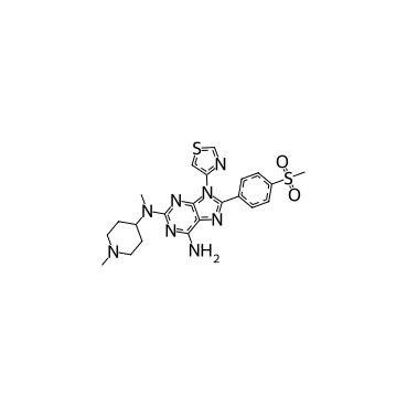 CN1CCC(N(C)c2nc(N)c3nc(-c4ccc(S(C)(=O)=O)cc4)n(-c4cscn4)c3n2)CC1